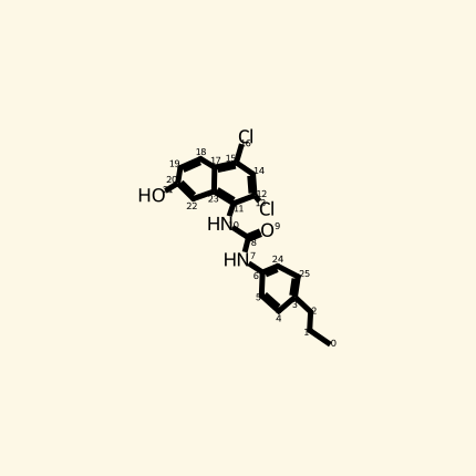 CCCc1ccc(NC(=O)Nc2c(Cl)cc(Cl)c3ccc(O)cc23)cc1